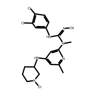 CCN1CCCC(Nc2cc(C)nc(N(C)/C(=N\C#N)Nc3ccc(Cl)c(Cl)c3)c2)C1